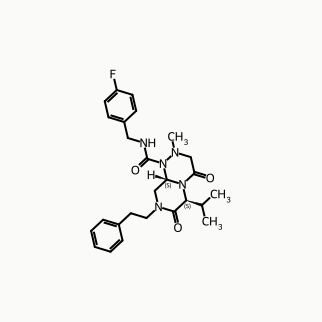 CC(C)[C@H]1C(=O)N(CCc2ccccc2)C[C@H]2N1C(=O)CN(C)N2C(=O)NCc1ccc(F)cc1